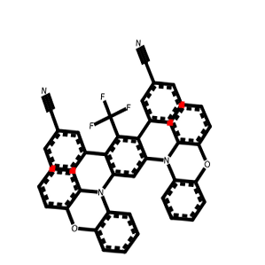 N#Cc1cccc(-c2c(N3c4ccccc4Oc4ccccc43)cc(N3c4ccccc4Oc4ccccc43)c(-c3cccc(C#N)c3)c2C(F)(F)F)c1